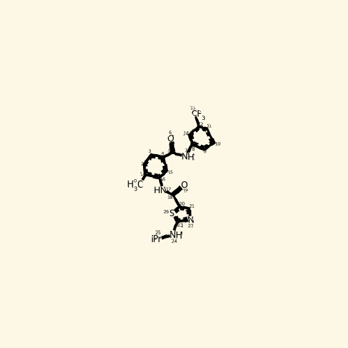 Cc1ccc(C(=O)Nc2cccc(C(F)(F)F)c2)cc1NC(=O)c1cnc(NC(C)C)s1